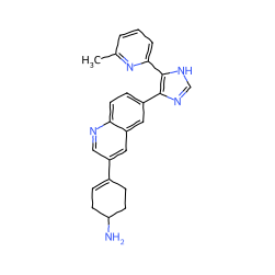 Cc1cccc(-c2[nH]cnc2-c2ccc3ncc(C4=CCC(N)CC4)cc3c2)n1